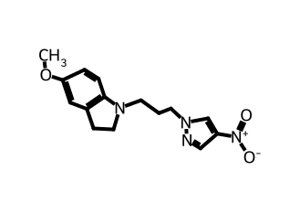 COc1ccc2c(c1)CCN2CCCn1cc([N+](=O)[O-])cn1